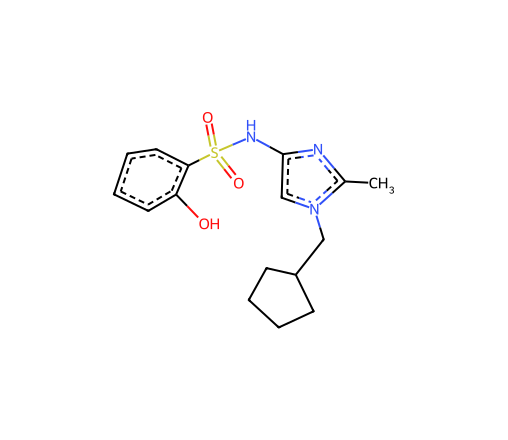 Cc1nc(NS(=O)(=O)c2ccccc2O)cn1CC1CCCC1